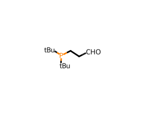 CC(C)(C)P(CCC=O)C(C)(C)C